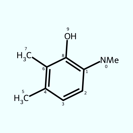 CNc1ccc(C)c(C)c1O